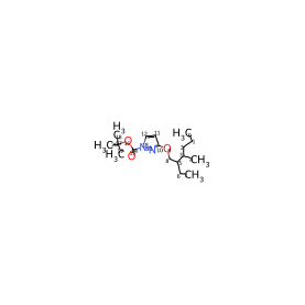 CCCC(C)C(CC)COc1ccn(C(=O)OC(C)(C)C)n1